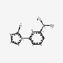 CCc1nccn1-c1cccc(B(O)O)n1